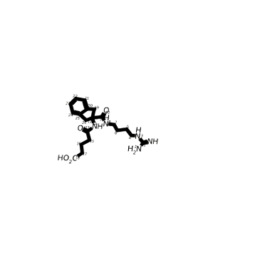 N=C(N)NCCCCNC(=O)C1(NC(=O)CCCC(=O)O)Cc2ccccc2C1